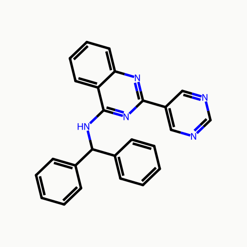 c1ccc(C(Nc2nc(-c3cncnc3)nc3ccccc23)c2ccccc2)cc1